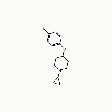 Ic1ccc(OC2CCN(C3CC3)CC2)cc1